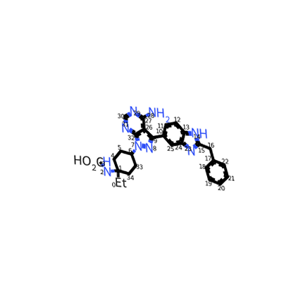 CCC1(NC(=O)O)CCC(n2nc(-c3ccc4[nH]c(Cc5ccccc5)nc4c3)c3c(N)ncnc32)CC1